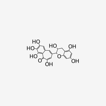 O=c1c(O)cc(C2Oc3cc(O)cc(O)c3CC2O)cc2cc(O)c(O)c(O)c12